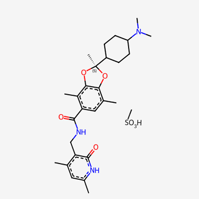 CS(=O)(=O)O.Cc1cc(C)c(CNC(=O)c2cc(C)c3c(c2C)O[C@@](C)(C2CCC(N(C)C)CC2)O3)c(=O)[nH]1